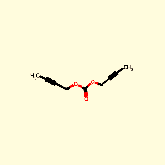 CC#CCOC(=O)OCC#CC